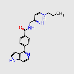 CCCN/C=C\C(=N)CNC(=O)c1ccc(-c2nccc3[nH]ccc23)cc1